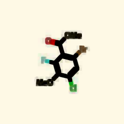 COC(=O)c1c(Br)cc(Cl)c(OC)c1F